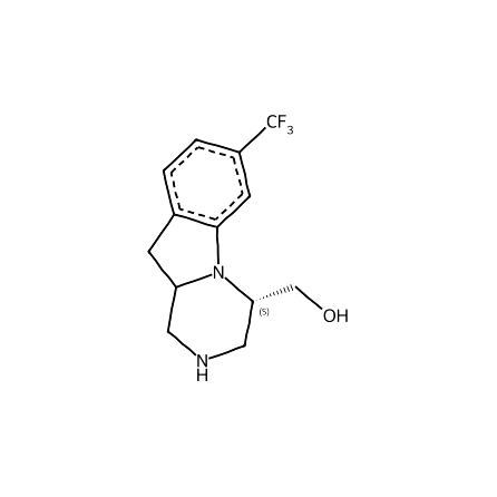 OC[C@@H]1CNCC2Cc3ccc(C(F)(F)F)cc3N21